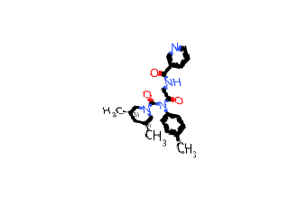 Cc1ccc(N(C(=O)CNC(=O)c2cccnc2)C(=O)N2C[C@H](C)C[C@H](C)C2)cc1